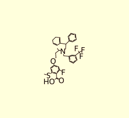 CSc1cc(OCC[C@@H](C)N(Cc2cccc(C(F)(F)F)c2)CC(C2=CCCC=C2)c2ccccc2)cc(F)c1C(=O)O